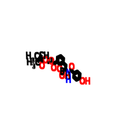 CC(C)(C)C(=O)OCOC(=O)c1cccc2c1OB(O)[C@@H](NC(=O)c1ccc(O)cc1)C2